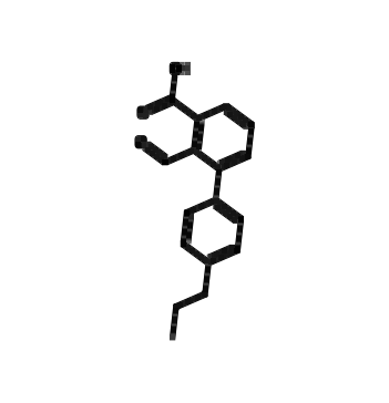 CCCc1ccc(-c2cccc(C(=O)O)c2C=O)cc1